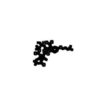 CCCCC(NC(=O)c1c(C)c2c(n1C(=O)OC(C)(C)C)CC(C)(C)CC2=O)c1nc2ccc(OCCCN(C)C)cc2n1C(=O)O